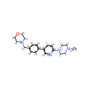 CC(C)N1CCN(c2ccc(-c3ccc(CN4CCOCC4)cc3)cn2)CC1